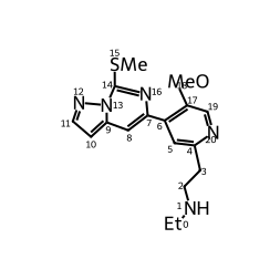 CCNCCc1cc(-c2cc3ccnn3c(SC)n2)c(OC)cn1